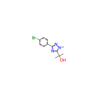 Cn1nc(-c2ccc(Br)cc2)nc1C(C)(C)O